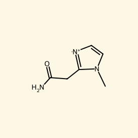 CN1C=C[N+]=C1CC(N)=O